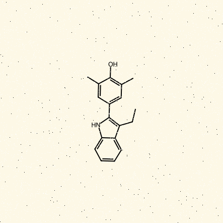 CCc1c(-c2cc(C)c(O)c(C)c2)[nH]c2ccccc12